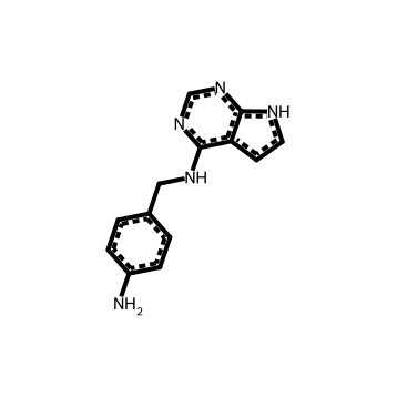 Nc1ccc(CNc2ncnc3[nH]ccc23)cc1